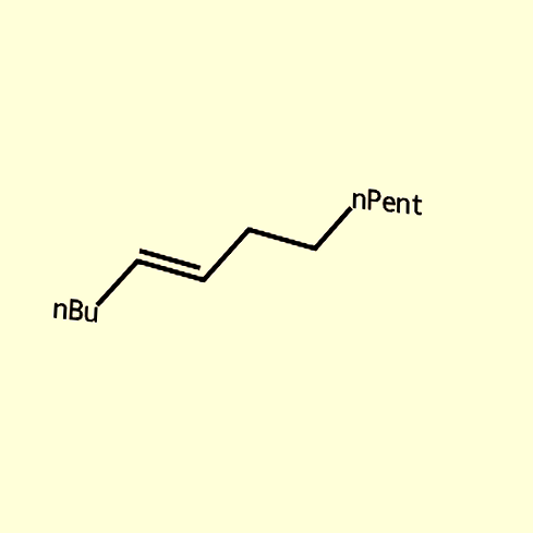 C[CH]CCCCCC=CCCCC